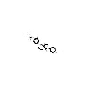 Cc1cc(N2CCC[C@]3(CCN(C4CCC(O)CC4)C3=O)C2)ccc1NC(=O)O